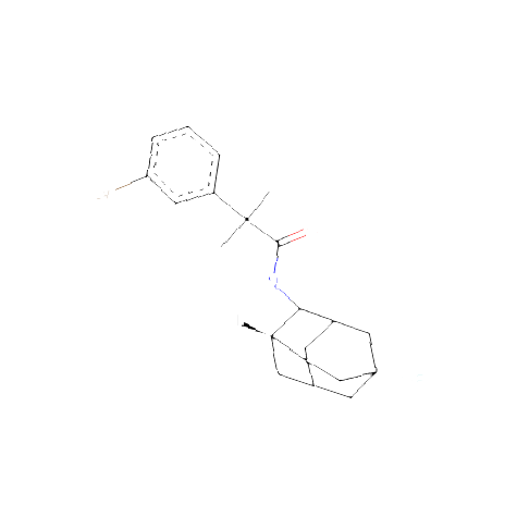 CC(C)(C(=O)N[C@H]1C2CC3C[C@H]1C[C@](F)(C3)C2)c1cccc(Br)c1